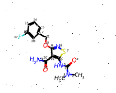 CN(C)C(=O)Nc1snc(OCc2cccc(F)c2)c1C(N)=O